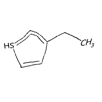 CCC1=C=[SH]C=C1